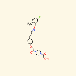 O=C(CO)N1CCN(C(=O)COc2ccc(CCC=NOCc3cc(F)ccc3C(F)(F)F)cc2)CC1